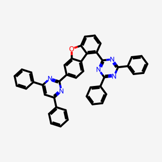 c1ccc(-c2cc(-c3ccccc3)nc(-c3ccc4c(c3)oc3cccc(-c5nc(-c6ccccc6)nc(-c6ccccc6)n5)c34)n2)cc1